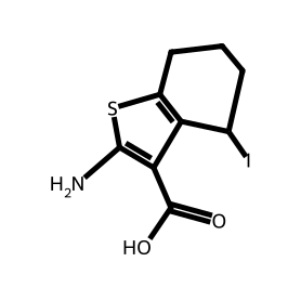 Nc1sc2c(c1C(=O)O)C(I)CCC2